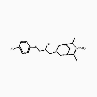 CC1C2CC(CN(CC(O)COc3ccc(C#N)cc3)C2)C(C)N1C(=O)O